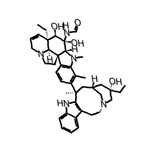 CC[C@]1(O)C[C@@H]2C[N@@](CCc3c([nH]c4ccccc34)[C@@](C)(c3ccc4c(c3C)N(C)[C@H]3[C@@](O)(NC=O)[C@H](O)[C@]5(CC)C=CCN6CC[C@]43[C@@H]65)C2)C1